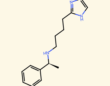 C[C@H](NCCCCc1n[c]c[nH]1)c1ccccc1